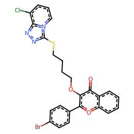 O=c1c(OCCCCSc2nnc3c(Cl)cccn23)c(-c2ccc(Br)cc2)oc2ccccc12